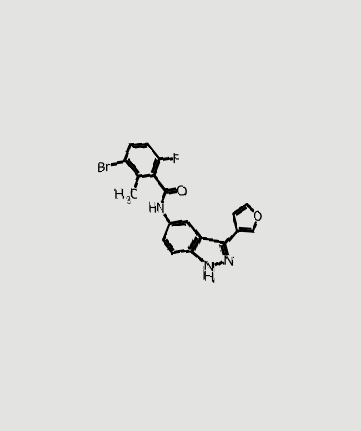 Cc1c(Br)ccc(F)c1C(=O)Nc1ccc2[nH]nc(-c3ccoc3)c2c1